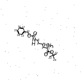 CNC(CCCCNC(=O)OCc1ccccc1)C(=O)OC(C)(C)C